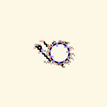 CC[C@H]1NC(=O)[C@@H](C[C@H](C)CCCCCCNC(=O)c2cccc(C(=O)OC)c2)N(C)C(=O)[C@@H](C(C)C)N(C)C(=O)[C@@H](CCC(C)C)N(C)C(=O)[C@H](CC(C)C)N(C)C(=O)[C@H](C)NC(=O)[C@@H](C)NC(=O)[C@@H](CC(C)C)N(C)C(=O)[C@@H](C(C)C)NC(=O)[C@H](CC(C)C)N(C)C(=O)[C@@H](CSCCCCO)N(C)C1=O